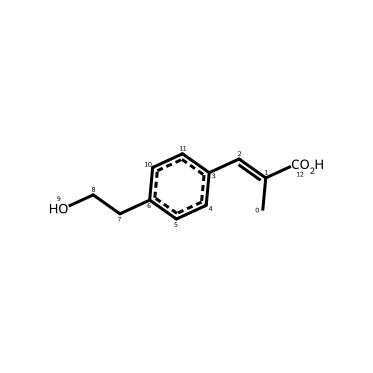 CC(=Cc1ccc(CCO)cc1)C(=O)O